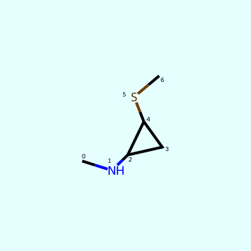 CNC1CC1SC